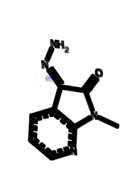 CN1C(=O)/C(=N\N)c2cccnc21